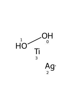 OO.[Ag].[Ti]